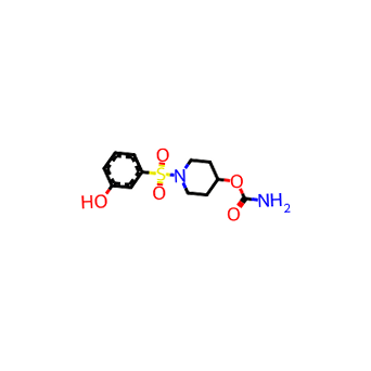 NC(=O)OC1CCN(S(=O)(=O)c2cccc(O)c2)CC1